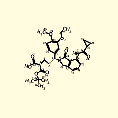 CCOc1cc([C@@H](CCN(C(=O)O)C(=O)OC(C)(C)C)N2Cc3cccc(NC(=O)C4CC4)c3C2=O)ccc1OC